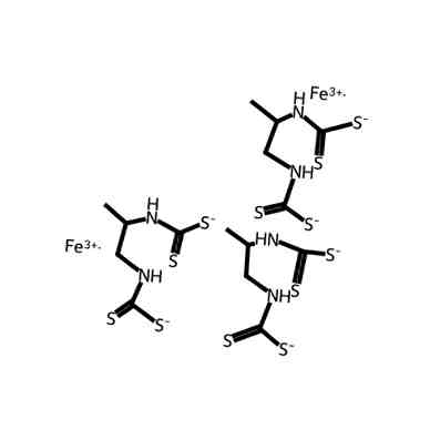 CC(CNC(=S)[S-])NC(=S)[S-].CC(CNC(=S)[S-])NC(=S)[S-].CC(CNC(=S)[S-])NC(=S)[S-].[Fe+3].[Fe+3]